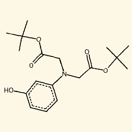 CC(C)(C)OC(=O)CN(CC(=O)OC(C)(C)C)c1cccc(O)c1